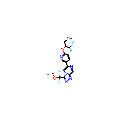 CCC(Oc1ccc(-c2cn3c(C(F)(F)OC)nnc3cn2)cn1)C(F)F